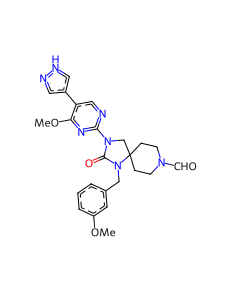 COc1cccc(CN2C(=O)N(c3ncc(-c4cn[nH]c4)c(OC)n3)CC23CCN(C=O)CC3)c1